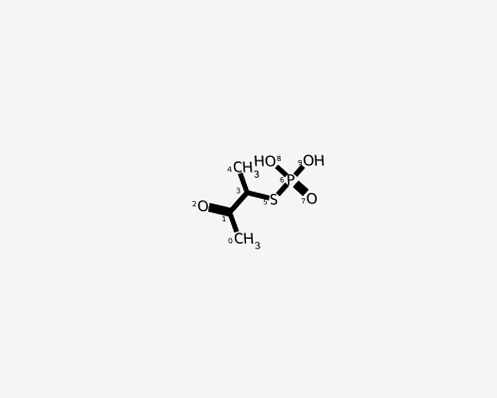 CC(=O)C(C)SP(=O)(O)O